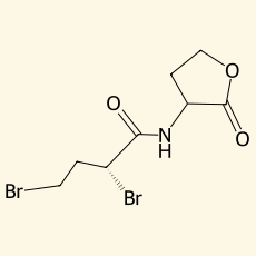 O=C1OCCC1NC(=O)[C@H](Br)CCBr